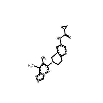 Cc1c(N2CCc3ncc(NC(=O)C4CC4)cc3C2)nn2cnnc2c1C